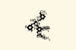 CCc1cccc(CNC[C@@H](O)[C@H](Cc2cc(F)cc(F)c2)NC(=O)c2cc(C)cc(CN(C)CCOC)c2)c1.Cl.Cl